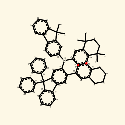 CC1(C)CCC(C)(C)c2cc(N(c3ccc4c(c3)C(C)(C)c3ccccc3-4)c3cc4c(cc3-c3ccc5c(c3)CCCC5)-c3ccccc3C4(c3ccccc3)c3ccccc3)ccc21